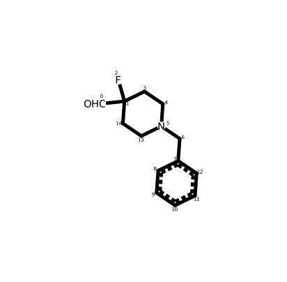 O=CC1(F)CCN(Cc2ccccc2)CC1